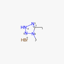 Br.CC1=NN[N]N1C